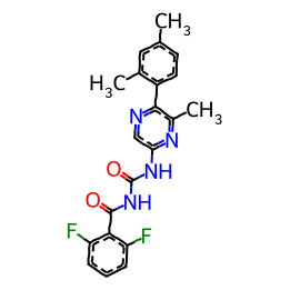 Cc1ccc(-c2ncc(NC(=O)NC(=O)c3c(F)cccc3F)nc2C)c(C)c1